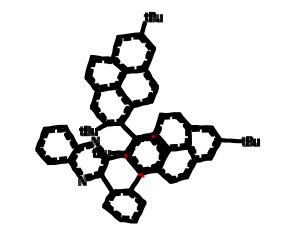 CC(C)(C)c1cc2ccc3cc(C(C)(C)C)c(-c4ccccc4-c4nc5ccccc5nc4-c4ccccc4-c4c(C(C)(C)C)cc5ccc6cc(C(C)(C)C)cc7ccc4c5c67)c4ccc(c1)c2c34